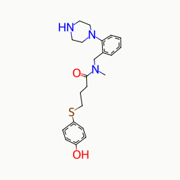 CN(Cc1ccccc1N1CCNCC1)C(=O)CCCSc1ccc(O)cc1